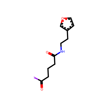 O=C(I)CCCC(=O)NCCc1ccoc1